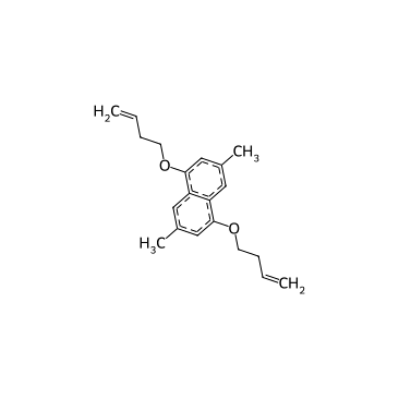 C=CCCOc1cc(C)cc2c(OCCC=C)cc(C)cc12